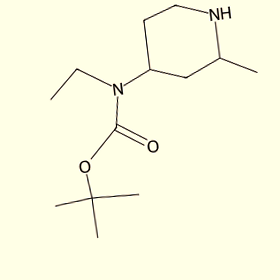 CCN(C(=O)OC(C)(C)C)C1CCNC(C)C1